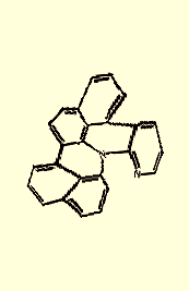 c1cnc2c(c1)-c1cccc3ccc4c(c13)N2c1cccc2cccc-4c12